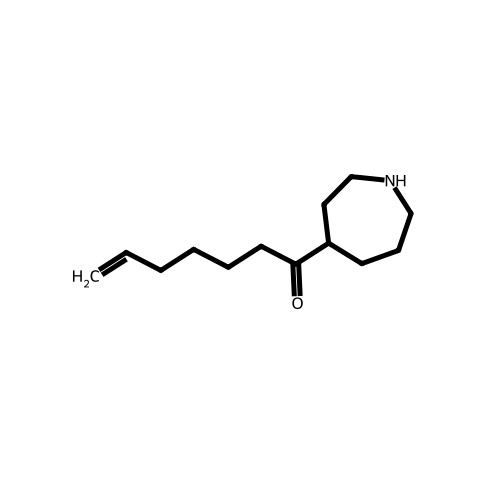 C=CCCCCC(=O)C1CCCNCC1